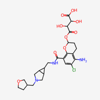 Nc1c(Cl)cc(C(=O)NCC2C3CN(CC4CCOC4)CC23)c2c1CCC(OC(=O)C(O)C(O)C(=O)O)O2